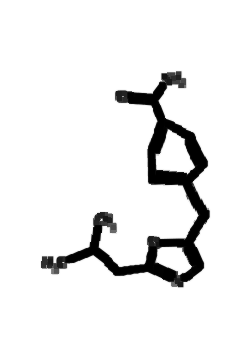 CC(C)Cc1ncc(Cc2ccc(C(N)=O)cc2)o1